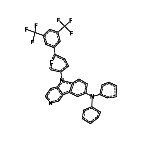 FC(F)(F)c1cc(-c2ccc(-n3c4ccncc4c4cc(N(c5ccccc5)c5ccccc5)ccc43)cc2)cc(C(F)(F)F)c1